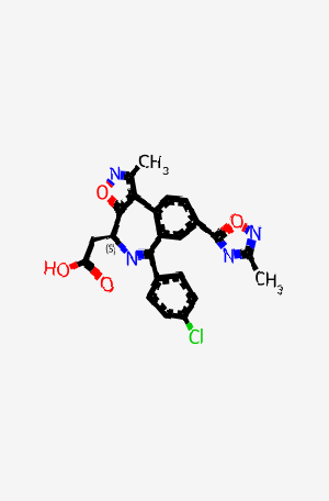 Cc1noc(-c2ccc3c(c2)C(c2ccc(Cl)cc2)=N[C@@H](CC(=O)O)c2onc(C)c2-3)n1